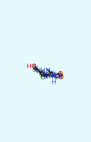 CS(=O)(=O)N1CCC(Nc2ncc(C#N)c(-c3cnn(-c4ccc(CN[C@H]5CC[C@@H](O)C5)cc4Cl)c3)n2)CC1